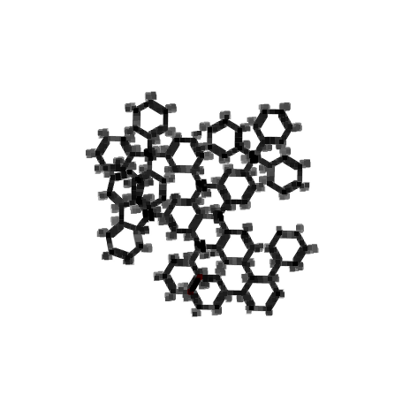 c1ccc(-c2cccc(-c3ccccc3)c2-c2ccc3c(c2)N(c2ccccc2)c2cc(-n4c5ccccc5c5ccccc54)cc4c2B3c2ccc([Si](c3ccccc3)(c3ccccc3)c3ccccc3)cc2N4c2cccc([Si](c3ccccc3)(c3ccccc3)c3ccccc3)c2)cc1